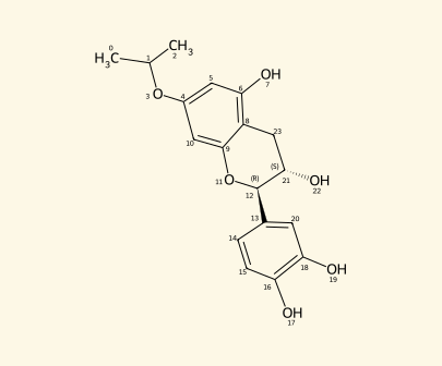 CC(C)Oc1cc(O)c2c(c1)O[C@H](c1ccc(O)c(O)c1)[C@@H](O)C2